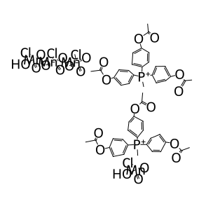 CC(=O)Oc1ccc([P+](C)(c2ccc(OC(C)=O)cc2)c2ccc(OC(C)=O)cc2)cc1.CC(=O)Oc1ccc([P+](C)(c2ccc(OC(C)=O)cc2)c2ccc(OC(C)=O)cc2)cc1.[O]=[Mn](=[O])([O-])[Cl].[O]=[Mn](=[O])([O-])[Cl].[O]=[Mn](=[O])([OH])[Cl].[O]=[Mn](=[O])([OH])[Cl]